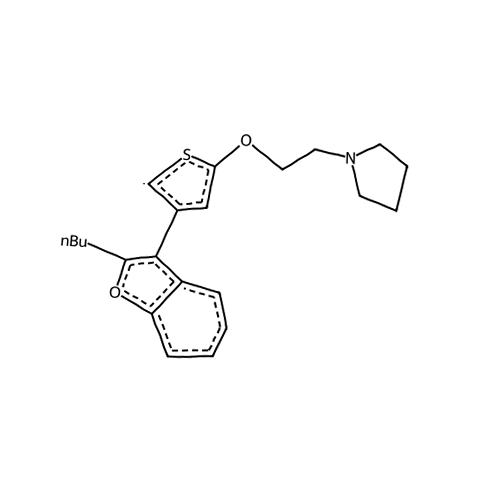 CCCCc1oc2ccccc2c1-c1[c]sc(OCCN2CCCC2)c1